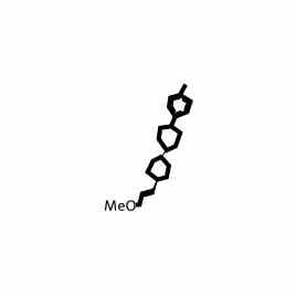 COC/C=C/[C@H]1CC[C@H](C2CCC(c3ccc(C)cc3)CC2)CC1